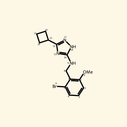 COc1cccc(Br)c1CNc1nc(C2CCC2)n[nH]1